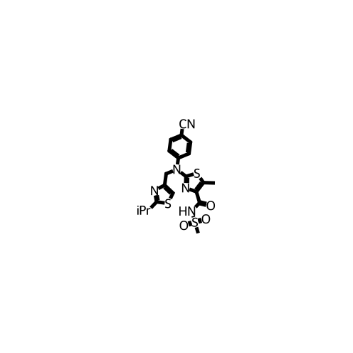 Cc1sc(N(Cc2csc(C(C)C)n2)c2ccc(C#N)cc2)nc1C(=O)NS(C)(=O)=O